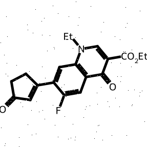 CCOC(=O)c1cn(CC)c2cc(C3=CC(=O)CC3)c(F)cc2c1=O